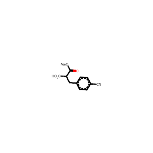 COC(=O)C(Cc1ccc(C#N)cc1)C(=O)O